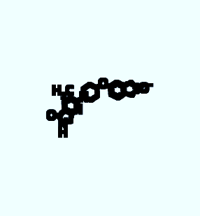 Cc1cc2c(nc1N1CCC(Oc3ccc4c(c3)C[S+]([O-])C4)CC1)CNC2=O